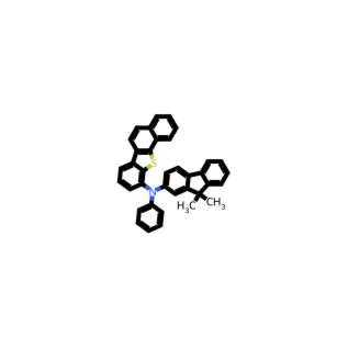 CC1(C)c2ccccc2-c2ccc(N(c3ccccc3)c3cccc4c3sc3c5ccccc5ccc43)cc21